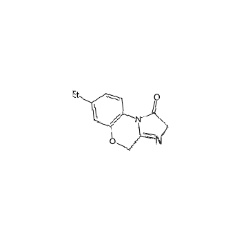 CCc1ccc2c(c1)OCC1=NCC(=O)N12